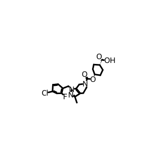 Cc1nn(Cc2ccc(Cl)cc2F)c2c1CCN(C(=O)O[C@H]1CC[C@@H](C(=O)O)CC1)C2